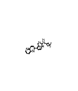 FC1(F)CC(Nc2ncc3c(-c4ccc5ncccc5n4)ccn3n2)C1